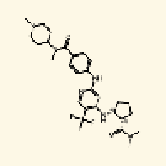 CN1CCC(N(C)C(=O)c2ccc(Nc3ncc(C(F)(F)F)c(N[C@@H]4CCC[C@@H]4C(=O)N(C)C)n3)cc2)CC1